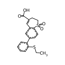 CCSc1ccccc1-c1ccc2c(c1)C=C(C(=O)O)CCS2(=O)=O